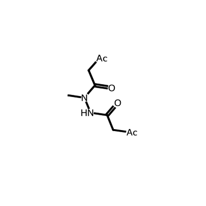 CC(=O)CC(=O)NN(C)C(=O)CC(C)=O